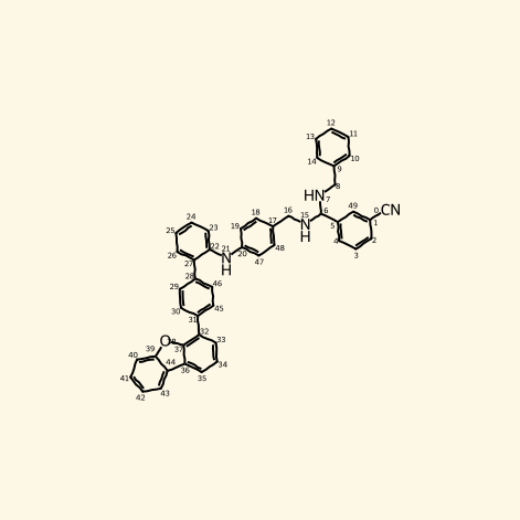 N#Cc1cccc(C(NCc2ccccc2)NCc2ccc(Nc3ccccc3-c3ccc(-c4cccc5c4oc4ccccc45)cc3)cc2)c1